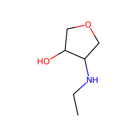 CCNC1COCC1O